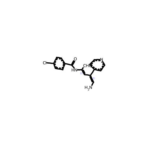 N/C=C(\C=C(/C=O)NC(=O)c1ccc(Cl)cc1)c1ccncc1